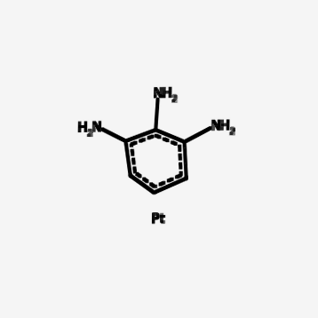 Nc1cccc(N)c1N.[Pt]